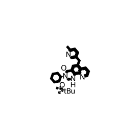 Cc1ccc(Cc2cc3c(c4ncccc24)NCN([C@H]2CCCC[C@@H]2O[Si](C)(C)C(C)(C)C)C3=O)cn1